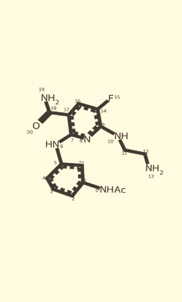 CC(=O)Nc1cccc(Nc2nc(NCCN)c(F)cc2C(N)=O)c1